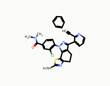 C#Cc1ncccc1-c1nn(-c2ccc(C(=O)N(C)C)cc2Cl)c2c1CCc1nc(NC(C)=O)sc1-2.c1ccccc1